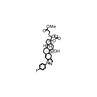 CCC(=O)O[C@]1(C(=O)SCC(=O)OC)CC[C@H]2[C@@H]3CCC4=Cc5c(cnn5-c5ccc(F)cc5)C[C@]4(C)[C@H]3[C@@H](O)C[C@@]21C